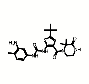 Cc1ccc(NC(=O)Nc2sc(C(C)(C)C)cc2C(=O)N2CCNC(=O)C2(C)C)cc1N